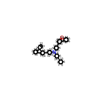 c1ccc(-c2ccc(N(c3ccc(-c4ccc5c(c4)C4(CC6CCC4C6)c4ccccc4-5)cc3)c3ccc(-c4ccc5oc6ccccc6c5c4)cc3)cc2)cc1